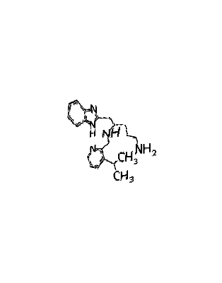 CC(C)c1cccnc1CNC(CCCN)Cc1nc2ccccc2[nH]1